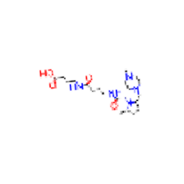 C[C@@H]1CCC(CN2CCN(C)CC2)N1CC(=O)NCCCC(=O)NCCCC(=O)O